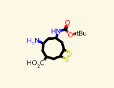 CC(C)(C)OC(=O)NC1CC(N)CC(C(=O)O)CC2SSC2C1